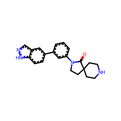 O=C1N(c2cccc(-c3ccc4[nH]ncc4c3)c2)CCC12CCNCC2